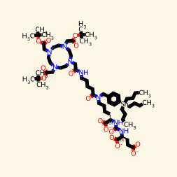 CCC[CH2][Sn]([CH2]CCC)([CH2]CCC)[c]1ccc(CN(CCCC[C@H](NC(=O)N[C@@H](CCC(=O)[O-])C(=O)[O-])C(=O)[O-])C(=O)CCCCNC(=O)CN2CCN(CC(=O)OC(C)(C)C)CCN(CC(=O)OC(C)(C)C)CCN(CC(=O)OC(C)(C)C)CC2)cc1